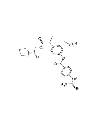 CC(C(=O)OCC(=O)N1CCCC1)c1ccc(OC(=O)c2ccc(NC(=N)N)cc2)cc1.CS(=O)(=O)O